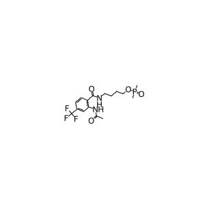 CC(=O)Nc1cc(C(F)(F)F)ccc1C(=O)NCCCCOP(C)(C)=O